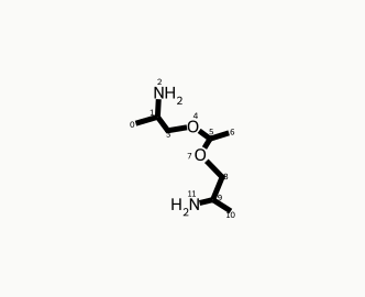 CC(N)COC(C)OCC(C)N